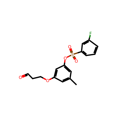 Cc1cc(OCCC=O)cc(OS(=O)(=O)c2cccc(F)c2)c1